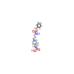 O=C(NCCCN1CCC2(CC1)CN(C(=O)O)C2)OCc1ccccc1